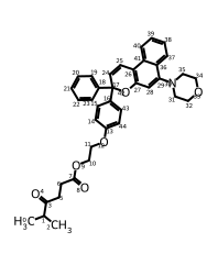 CC(C)C(=O)CCC(=O)OCCOc1ccc(C2(c3ccccc3)C=Cc3c(cc(N4CCOCC4)c4ccccc34)O2)cc1